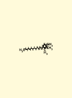 CC=CC=CCCCCCCCOc1ccc([SiH3])c(C)c1C